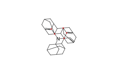 C=CCC1C2CC3CC(C2)CC1(N(C12CC4CC(CC(C4)C1CC=C)C2)C12CC4CC(CC(C4)C1CC=C)C2)C3